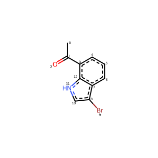 CC(=O)c1cccc2c(Br)c[nH]c12